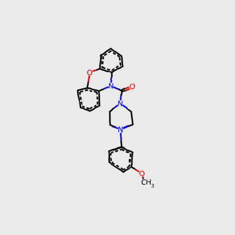 COc1cccc(N2CCN(C(=O)N3c4ccccc4Oc4ccccc43)CC2)c1